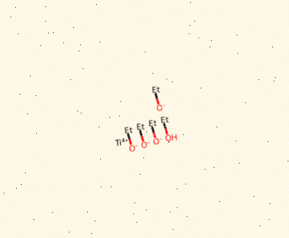 CCO.CC[O-].CC[O-].CC[O-].CC[O-].[Ti+4]